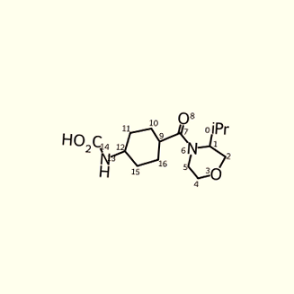 CC(C)C1COCCN1C(=O)C1CCC(NC(=O)O)CC1